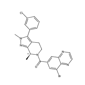 C[C@H]1c2nn(C)c(-c3cccc(Cl)c3)c2CCN1C(=O)c1cc(Br)c2nccnc2c1